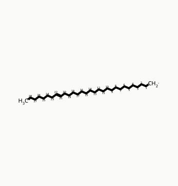 [CH2]CCCCCCCCCCCCCCCCCCCC/C=C/CCCCCCC